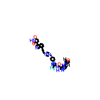 O=C1CCC(c2cncc3c(C#CCN4CCN(C[C@H]5CC[C@@H](n6cc(NC(=O)c7cnn8ccc(N9C[C@H]%10C[C@@H]9CO%10)nc78)c(C(F)F)n6)CC5)CC4)cccc23)C(=O)N1